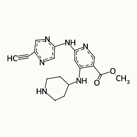 C#Cc1cnc(Nc2cc(NC3CCNCC3)c(C(=O)OC)cn2)cn1